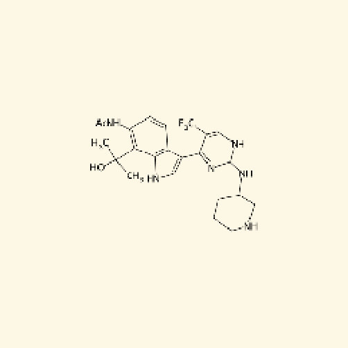 CC(=O)Nc1ccc2c(C3=NC(NC4CCCNC4)NC=C3C(F)(F)F)c[nH]c2c1C(C)(C)O